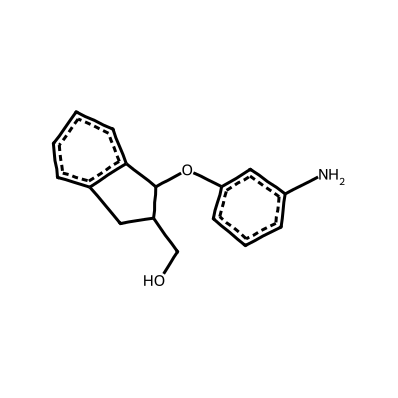 Nc1cccc(OC2c3ccccc3CC2CO)c1